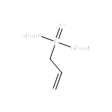 C=CCP(=O)(CCCCC)CCCCC